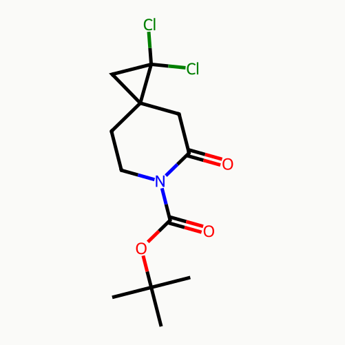 CC(C)(C)OC(=O)N1CCC2(CC1=O)CC2(Cl)Cl